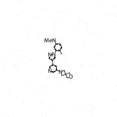 CNc1ccc(C)c(-n2cc(-c3cncc(N4CC5(COC5)C4)c3)cn2)c1